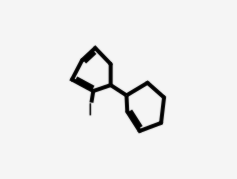 IC1=CC=CCC1C1C=CCCC1